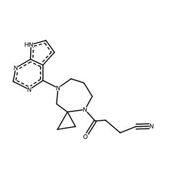 N#CCCC(=O)N1CCCN(c2ncnc3[nH]ccc23)CC12CC2